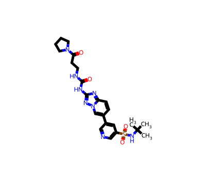 CC(C)(C)NS(=O)(=O)c1cncc(-c2ccc3nc(NC(=O)NCCC(=O)N4CCCC4)nn3c2)c1